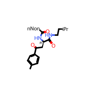 CCCCCCCCCC(=O)N[C@H](CC(=O)c1ccc(C)cc1)C(=O)NCCC(C)C